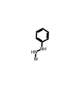 BrNNc1ccccc1